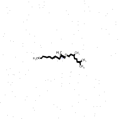 CCCCCCCCC/C(C)=C/OCCC(C)CCC=C(C)C